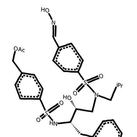 CC(=O)OCc1ccc(S(=O)(=O)N[C@@H](Cc2ccccc2)[C@H](O)CN(CC(C)C)S(=O)(=O)c2ccc(C=NO)cc2)cc1